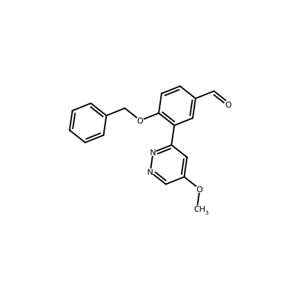 COc1cnnc(-c2cc(C=O)ccc2OCc2ccccc2)c1